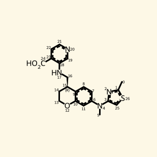 Cc1nc(N(C)c2ccc3c(c2)OCC[C@H]3CNc2cnccc2C(=O)O)cs1